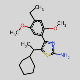 CCc1cc(OC)c(-c2nc(N)sc2C(C)C2CCCCC2)cc1OC